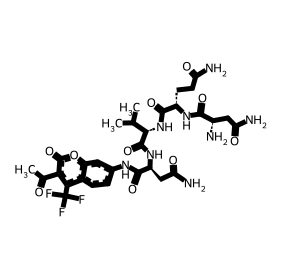 CC(=O)c1c(C(F)(F)F)c2ccc(NC(=O)[C@H](CC(N)=O)NC(=O)[C@@H](NC(=O)[C@H](CCC(N)=O)NC(=O)[C@@H](N)CC(N)=O)C(C)C)cc2oc1=O